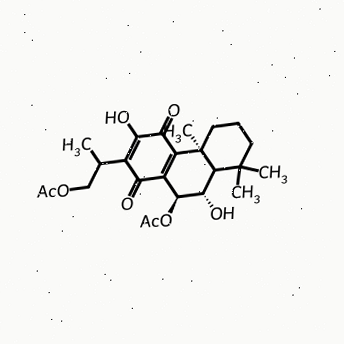 CC(=O)OCC(C)C1=C(O)C(=O)C2=C(C1=O)[C@H](OC(C)=O)[C@@H](O)C1C(C)(C)CCC[C@]21C